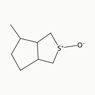 CC1CCC2C[S+]([O-])CC12